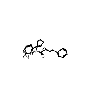 N#Cc1nccc(C2(NC(=O)OCCc3ccccc3)CCCC2)n1